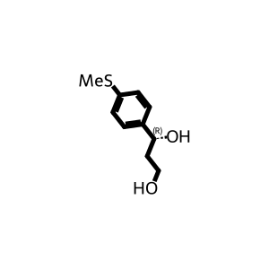 CSc1ccc([C@H](O)CCO)cc1